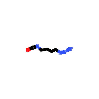 [N-]=[N+]=NCCCCN=C=O